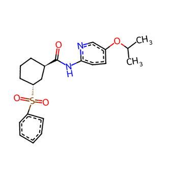 CC(C)Oc1ccc(NC(=O)[C@@H]2CCC[C@@H](S(=O)(=O)c3ccccc3)C2)nc1